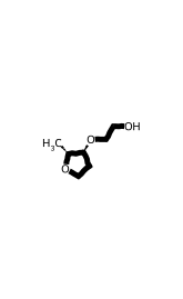 C[C@H]1OCC[C@H]1OCCO